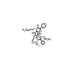 CCCCC(NC(=O)[C@H](CCCCN)NC(=O)N1CCOCC1)P(=O)(O)O[C@@H](C)C(=O)N1CCC[C@H]1C(=O)O